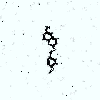 COc1ccc(COc2ccc3cc(O)ccc3n2)cc1